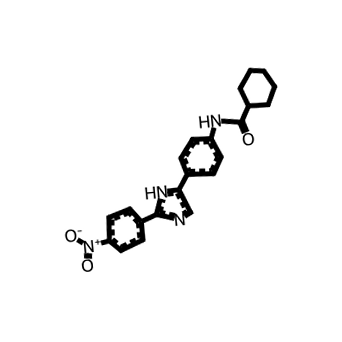 O=C(Nc1ccc(-c2cnc(-c3ccc([N+](=O)[O-])cc3)[nH]2)cc1)C1CCCCC1